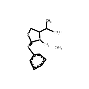 CC(C(=O)O)C1CSC(=Nc2ccccc2)N1C.[CaH2]